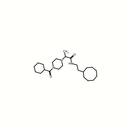 CC(C(=O)NCCC1CCCCCCC1)N1CCN(C(=O)C2CCCCC2)CC1